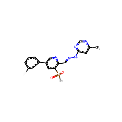 CCS(=O)(=O)c1cc(-c2cccc(C(F)(F)F)c2)cnc1C=NNc1cc(C(F)(F)F)ncn1